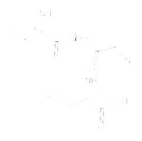 NCC(=O)O.N[C@@H](CO)C(=O)O.N[C@@H](CS)C(=O)O